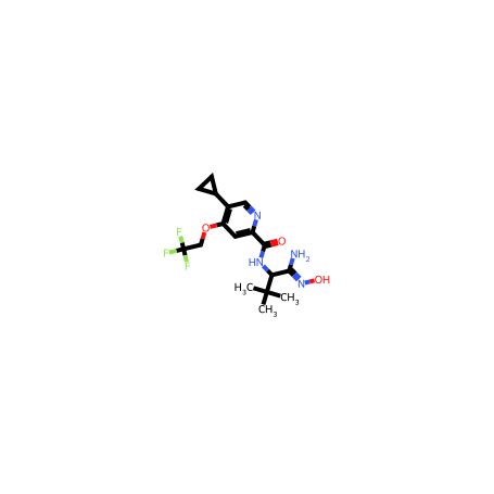 CC(C)(C)C(NC(=O)c1cc(OCC(F)(F)F)c(C2CC2)cn1)/C(N)=N/O